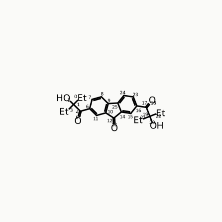 CCC(O)(CC)C(=O)c1ccc2c(c1)C(=O)c1cc(C(=O)C(O)(CC)CC)ccc1-2